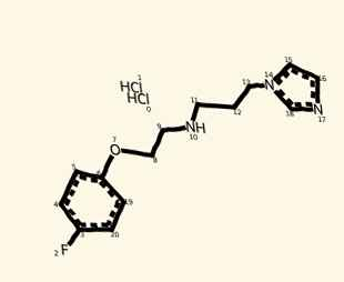 Cl.Cl.Fc1ccc(OCCNCCCn2ccnc2)cc1